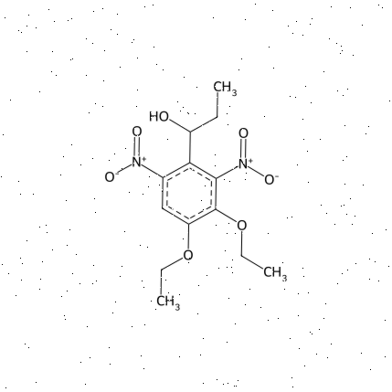 CCOc1cc([N+](=O)[O-])c(C(O)CC)c([N+](=O)[O-])c1OCC